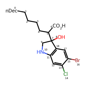 CCCCCCCCCCCCCCC(C(=O)O)C1(O)CNc2cc(Cl)c(Br)cc21